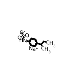 CCC(C)c1ccc(NS(=O)(=O)[O-])cc1.[Na+]